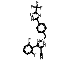 N#Cc1nn(Cc2ccc(-c3noc(C(F)(F)F)n3)cc2)nc1-c1c(F)cccc1F